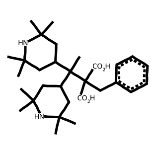 CC1(C)CC(C(C)(C2CC(C)(C)NC(C)(C)C2)C(Cc2ccccc2)(C(=O)O)C(=O)O)CC(C)(C)N1